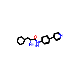 N[C@H](CC1CCCCC1)C(=O)Nc1ccc(-c2ccncc2)cc1